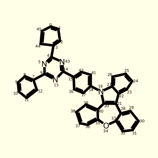 c1ccc(-c2nc(-c3ccccc3)nc(-c3ccc(-n4c5c(c6ccccc64)-c4ccccc4Oc4ccccc4-5)cc3)n2)cc1